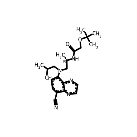 CC(C)CN(C[C@@H](C)NC(=O)COC(C)(C)C)c1ccc(C#N)c2nccnc12